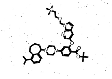 CC(C)c1cccc2c1CCCCC2N1CCN(c2ccc(C(=O)OC(C)(C)C)c(Oc3cnc4c(ccn4COCC[Si](C)(C)C)c3)c2)CC1